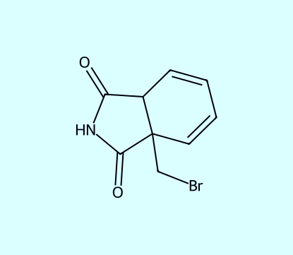 O=C1NC(=O)C2(CBr)C=CC=CC12